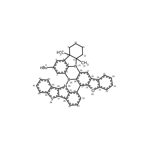 CCCCc1cc2c3c(c1)C1(C)CCCCC1(C)N3c1cc3c(oc4ccccc43)c3c1B2n1c2c-3cccc2c2sc3ccccc3c21